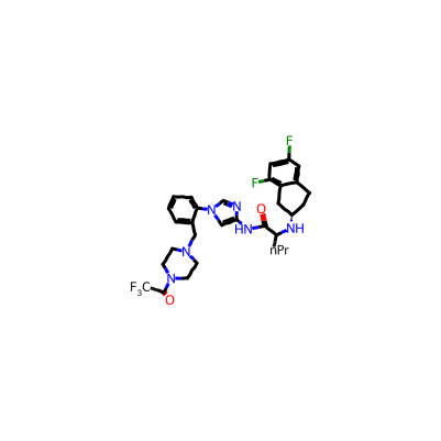 CCCC(N[C@H]1CCc2cc(F)cc(F)c2C1)C(=O)Nc1cn(-c2ccccc2CN2CCN(C(=O)C(F)(F)F)CC2)cn1